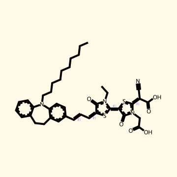 CCCCCCCCCCN1c2ccccc2CCc2cc(/C=C/C=c3/s/c(=c4/s/c(=C(\C#N)C(=O)O)n(CC(=O)O)c4=O)n(CC)c3=O)ccc21